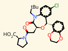 CC(C)(C)CN1C(=O)[C@H](CC(=O)N2CCC[C@H]2C(=O)O)O[C@@H](c2cccc3c2OCCO3)c2cc(Cl)ccc21